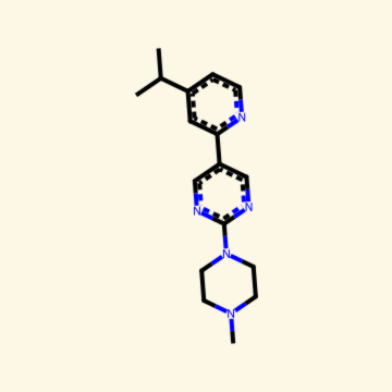 CC(C)c1ccnc(-c2cnc(N3CCN(C)CC3)nc2)c1